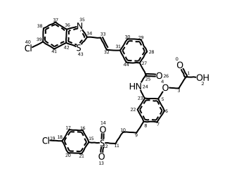 O=C(O)COc1ccc(CCCS(=O)(=O)c2ccc(Cl)cc2)cc1NC(=O)c1cccc(/C=C/c2nc3ccc(Cl)cc3s2)c1